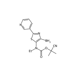 Bc1nc(-c2cccnc2)sc1N(CC)C(=O)OC(C)(C)C#N